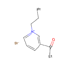 CCC(=O)c1ccc[n+](CCC(C)C)c1.[Br-]